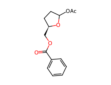 CC(=O)OC1CC[C@H](COC(=O)c2ccccc2)O1